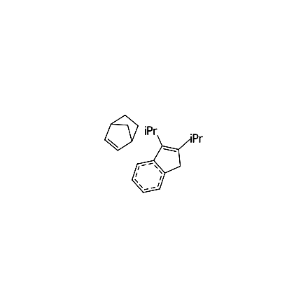 C1=CC2CCC1C2.CC(C)C1=C(C(C)C)c2ccccc2C1